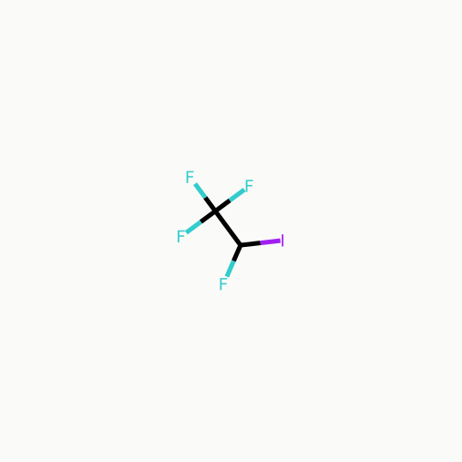 F[C](I)C(F)(F)F